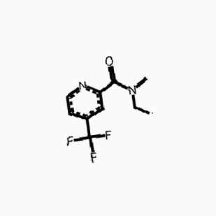 [CH2]CN(C)C(=O)c1cc(C(F)(F)F)ccn1